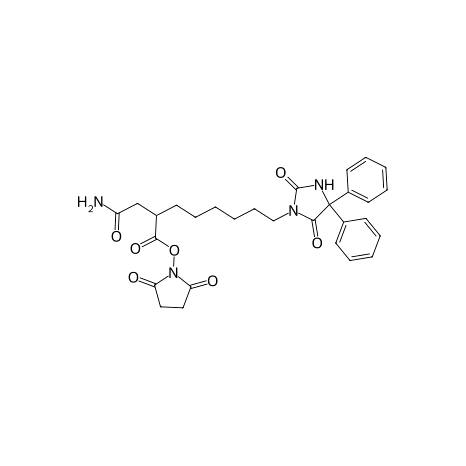 NC(=O)CC(CCCCCCN1C(=O)NC(c2ccccc2)(c2ccccc2)C1=O)C(=O)ON1C(=O)CCC1=O